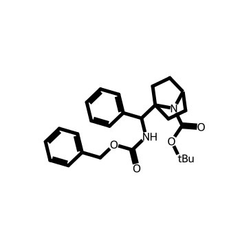 CC(C)(C)OC(=O)N1C2CCC1(C(NC(=O)OCc1ccccc1)c1ccccc1)CC2